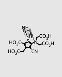 N.N.N.N.N#Cc1c(N(CC(=O)O)CC(=O)O)sc(C(=O)O)c1CC(=O)O